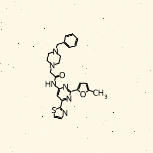 Cc1ccc(-c2nc(NC(=O)CN3CCN(Cc4ccccc4)CC3)cc(-c3nccs3)n2)o1